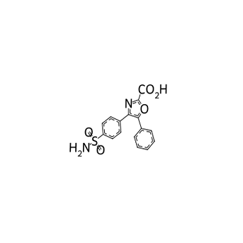 NS(=O)(=O)c1ccc(-c2nc(C(=O)O)oc2-c2ccccc2)cc1